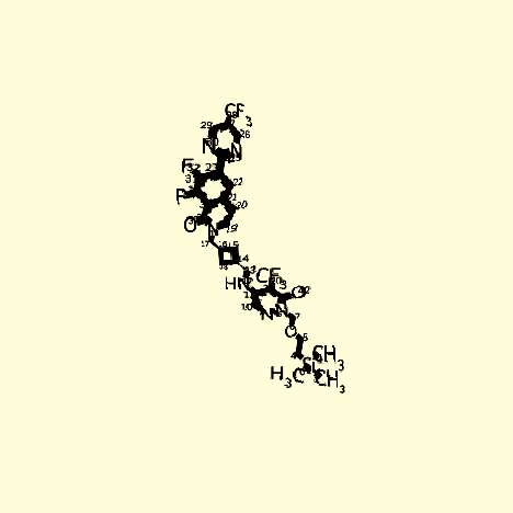 C[Si](C)(C)CCOCn1ncc(NC[C@H]2C[C@H](Cn3ccc4cc(-c5ncc(C(F)(F)F)cn5)c(F)c(F)c4c3=O)C2)c(C(F)(F)F)c1=O